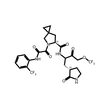 O=C(Nc1ccccc1C(F)(F)F)C(=O)N1CC2(CC2)C[C@H]1C(=O)NC(C[C@@H]1CCNC1=O)C(=O)COC(F)(F)F